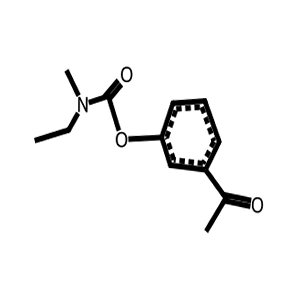 CCN(C)C(=O)Oc1cccc(C(C)=O)c1